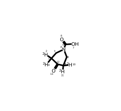 [2H]C1([2H])CN(C(=O)O)CC([2H])([2H])C1=O